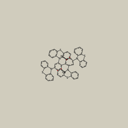 N#Cc1cc(N2c3ccccc3Sc3ccccc32)cc(N2c3ccccc3Sc3ccccc32)c1-c1c(C#N)cc(N2c3ccccc3Sc3ccccc32)cc1N1c2ccccc2Sc2ccccc21